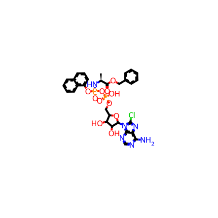 C[C@H](NP(=O)(Oc1cccc2ccccc12)OP(=O)(O)OCC1OC(n2c(Cl)nc3c(N)ncnc32)C(O)C1O)C(=O)OCc1ccccc1